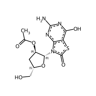 CC(=O)O[C@@H]1C[C@@H](CO)O[C@H]1n1c(=O)sc2c(O)nc(N)nc21